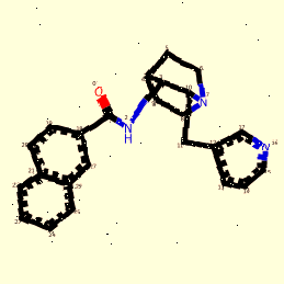 O=C(NC1C2CCN(CC2)C1Cc1cccnc1)c1ccc2ccccc2c1